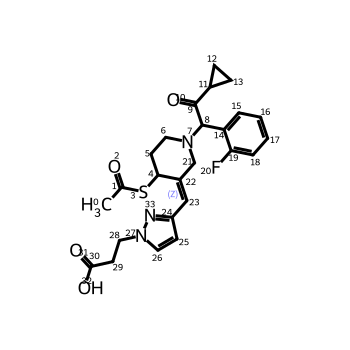 CC(=O)SC1CCN(C(C(=O)C2CC2)c2ccccc2F)C/C1=C/c1ccn(CCC(=O)O)n1